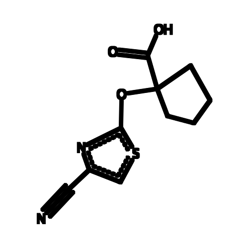 N#Cc1csc(OC2(C(=O)O)CCCC2)n1